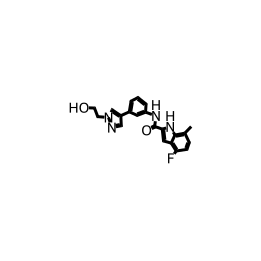 Cc1ccc(F)c2cc(C(=O)Nc3cccc(-c4cnn(CCO)c4)c3)[nH]c12